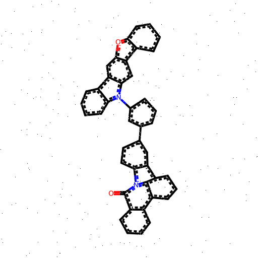 O=c1c2ccccc2c2cccc3c4cc(-c5cccc(-n6c7ccccc7c7cc8oc9ccccc9c8cc76)c5)ccc4n1c23